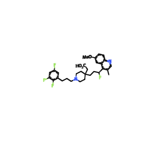 COc1ccc2ncc(C)c(C(F)CCC3(CC(=O)O)CCN(CCCc4cc(F)cc(F)c4F)CC3)c2c1